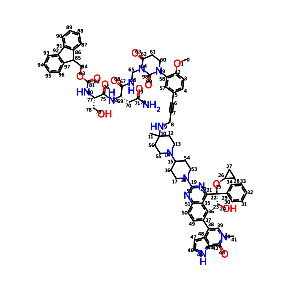 COc1ccc(C#CCNC2(C)CCN(C3CCN(c4nc([C@@](CO)(OC5CC5)c5ccccc5)c5cc(-c6cn(C)c(=O)c7[nH]ccc67)ccc5n4)CC3)CC2)cc1N1CCC(=O)N(CNC(=O)[C@H](CC(N)=O)NC(=O)[C@H](CO)NC(=O)OCC2c3ccccc3-c3ccccc32)C1=O